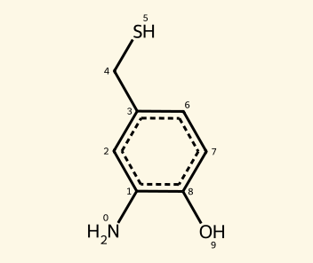 Nc1cc(CS)ccc1O